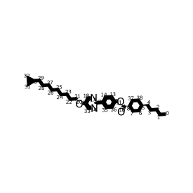 CCCCC[C@H]1CC[C@H](C(=O)Oc2ccc(-c3ncc(OCCCCCCCCCC4CC4)cn3)cc2)CC1